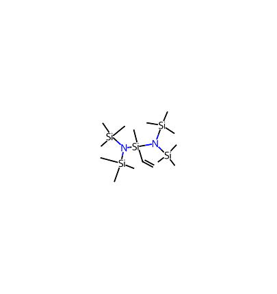 C=C[Si](C)(N([Si](C)(C)C)[Si](C)(C)C)N([Si](C)(C)C)[Si](C)(C)C